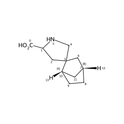 O=C(O)C1CC2(CN1)C[C@@H]1CC[C@H]2C1